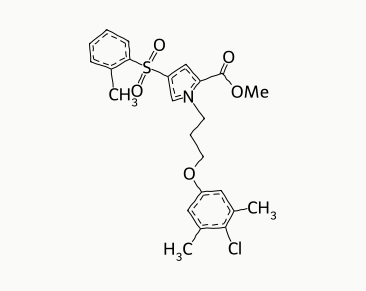 COC(=O)c1cc(S(=O)(=O)c2ccccc2C)cn1CCCOc1cc(C)c(Cl)c(C)c1